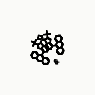 CC(C)(C)C1=Cc2c(-c3c4ccccc4cc4ccccc34)cccc2[CH]1[Ti+2]1([CH]2C(C(C)(C)C)=Cc3c(-c4c5ccccc5cc5ccccc45)cccc32)[CH2]C[CH2]1.[Cl-].[Cl-]